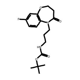 CC(C)(C)OC(=O)NCCCN1C(=O)CCOc2cc(F)ccc21